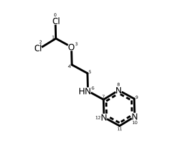 ClC(Cl)OCCNc1ncncn1